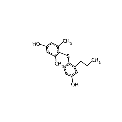 CCCc1cc(O)ccc1Sc1c(C)cc(O)cc1C